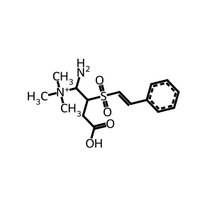 C[N+](C)(C)C(N)C(CC(=O)O)S(=O)(=O)/C=C/c1ccccc1